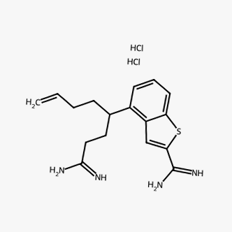 C=CCCC(CCC(=N)N)c1cccc2sc(C(=N)N)cc12.Cl.Cl